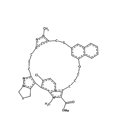 COC(=O)c1c2c3ccc(Cl)c(c3n1C)-c1c(nn3c1CSC3)CSCc1cc(n(C)n1)CSc1cc(c3ccccc3c1)OCCC2